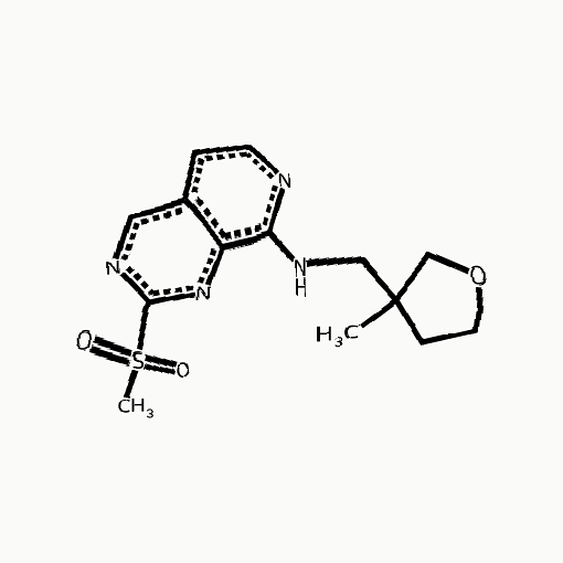 CC1(CNc2nccc3cnc(S(C)(=O)=O)nc23)CCOC1